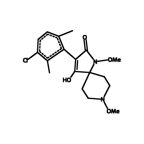 CON1CCC2(CC1)C(O)=C(c1c(C)ccc(Cl)c1C)C(=O)N2OC